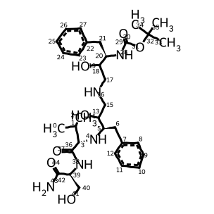 CC(C)[C@H](N[C@H](Cc1ccccc1)C(O)CNCC(O)[C@@H](Cc1ccccc1)NC(=O)OC(C)(C)C)C(=O)N[C@@H](CO)C(N)=O